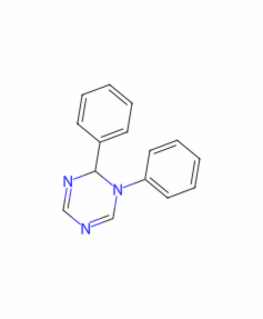 C1=NC=NC(c2ccccc2)N1c1ccccc1